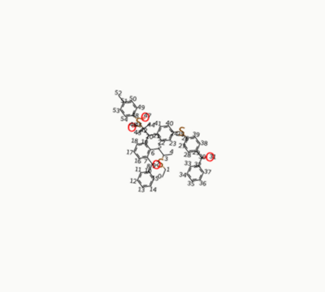 CCSC(C)Cc1c(C(=O)c2ccccc2)cccc1C(c1ccc(Sc2ccc(C(=O)c3ccccc3)cc2)cc1)C(C)(C)S(=O)(=O)c1ccc(C)cc1